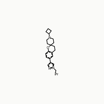 CC(C)Cn1cc(-c2ccc3c(c2)CCC2(CCN(C4CCC4)CC2)O3)cn1